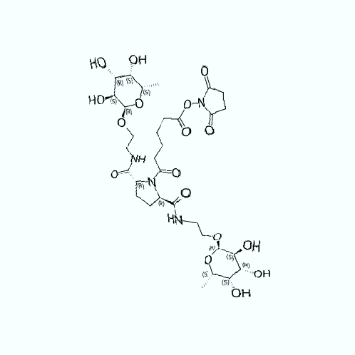 C[C@@H]1O[C@@H](OCCNC(=O)[C@H]2CC[C@H](C(=O)NCCO[C@@H]3O[C@@H](C)[C@@H](O)[C@@H](O)[C@@H]3O)N2C(=O)CCCCC(=O)ON2C(=O)CCC2=O)[C@@H](O)[C@H](O)[C@@H]1O